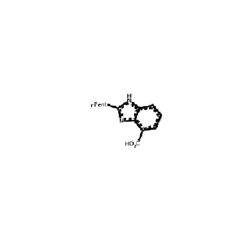 CCCCCc1nc2c(C(=O)O)cccc2[nH]1